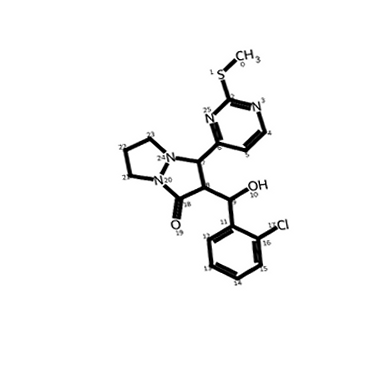 CSc1nccc(C2C(C(O)c3ccccc3Cl)C(=O)N3CCCN23)n1